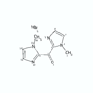 Br.Cn1ccnc1C(=O)c1nccn1C